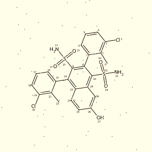 Cc1c(Cl)cccc1-c1c(S(N)(=O)=O)c(-c2cccc(Cl)c2C)c2ccc(O)cc2c1S(N)(=O)=O